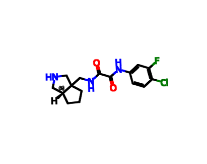 O=C(NCC12CCC[C@@H]1CNC2)C(=O)Nc1ccc(Cl)c(F)c1